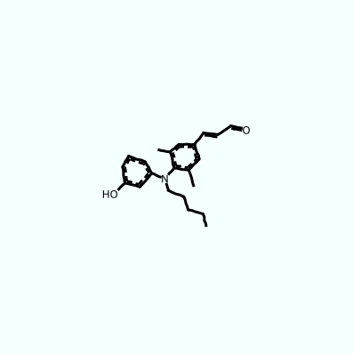 CCCCCN(c1cccc(O)c1)c1c(C)cc(/C=C/C=O)cc1C